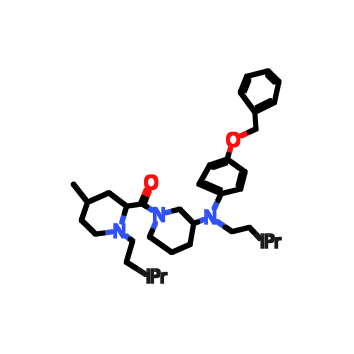 CC(C)CCN1CCC(C)CC1C(=O)N1CCCC(N(CCC(C)C)c2ccc(OCc3ccccc3)cc2)C1